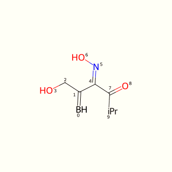 B=C(CO)/C(=N\O)C(=O)C(C)C